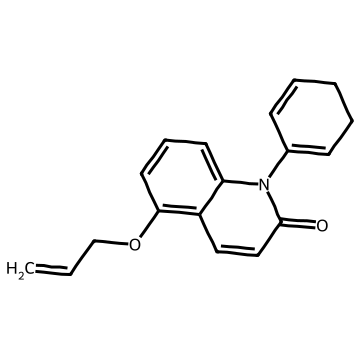 C=CCOc1cccc2c1ccc(=O)n2C1=CCCC=C1